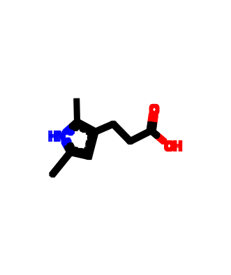 Cc1cc(CCC(=O)O)c(C)[nH]1